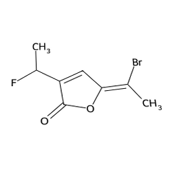 C/C(Br)=C1/C=C(C(C)F)C(=O)O1